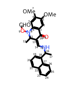 COc1cc2c(cc1OC)N(OC=O)C(C)C(=CNC(C)c1cccc3ccccc13)C2=O